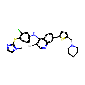 Cn1ccnc1Sc1ccc(Nc2c(C#N)cnc3cc(-c4ccc(CN5CCCCC5)s4)ccc23)cc1Cl